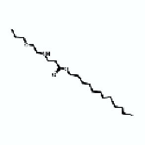 CCCCCCCCCCCCOC(=O)CCNCCOCCC